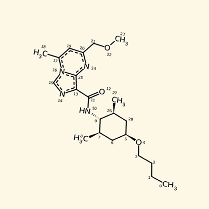 CCCCO[C@H]1C[C@@H](C)[C@H](NC(=O)c2ncn3c(C)cc(COC)nc23)[C@@H](C)C1